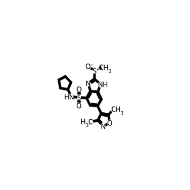 Cc1noc(C)c1-c1cc(S(=O)(=O)NC2CCCC2)c2nc([S+](C)[O-])[nH]c2c1